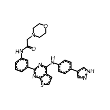 O=C(CN1CCOCC1)Nc1cccc(-c2nc(Nc3ccc(-c4cn[nH]c4)cc3)c3ccsc3n2)c1